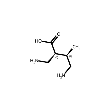 C[C@@H](CN)[C@@H](CN)C(=O)O